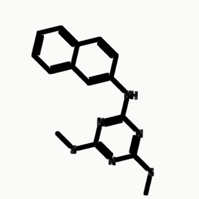 CSc1nc(Nc2ccc3ccccc3c2)nc(SC)n1